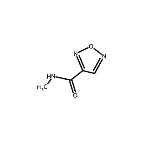 CNC(=O)c1cnon1